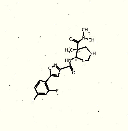 CN(C)C(=O)[C@]1(C)CNCC[C@H]1NC(=O)c1cc(-c2ccc(F)cc2F)on1